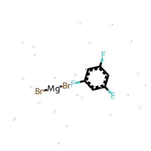 Fc1[c]c(F)cc(F)c1.[Br][Mg][Br]